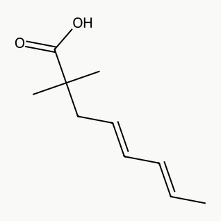 CC=CC=CCC(C)(C)C(=O)O